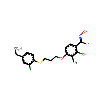 CCCc1c(OCCCSc2ccc(CC(=O)O)cc2Cl)ccc(/C(CC)=N/O)c1O